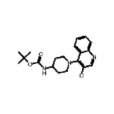 CC(C)(C)OC(=O)NC1CCN(c2c(Cl)cnc3ccccc23)CC1